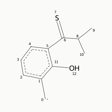 [CH2]c1cccc(C(=S)C(C)C)c1O